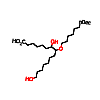 CCCCCCCCCCCCCCCCOC(CCCCCCCO)C(O)CCCCCC(=O)O